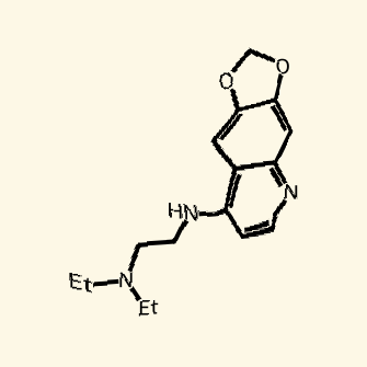 CCN(CC)CCNc1ccnc2cc3c(cc12)OCO3